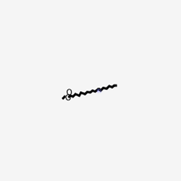 CCCCCC/C=C/CCCCCCCCCC(=O)OCC